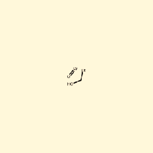 CCCO.[O]=[W]